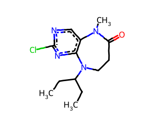 CCC(CC)N1CCC(=O)N(C)c2cnc(Cl)nc21